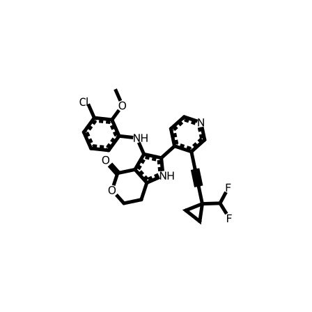 COc1c(Cl)cccc1Nc1c(-c2ccncc2C#CC2(C(F)F)CC2)[nH]c2c1C(=O)OCC2